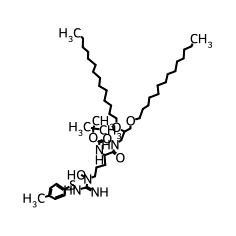 CCCCCCCCCCCCCCOCC(CNC(=O)C(CCCN(O)C(=N)NSc1ccc(C)cc1)NC(=O)OC(C)(C)C)OCCCCCCCCCCCCCC